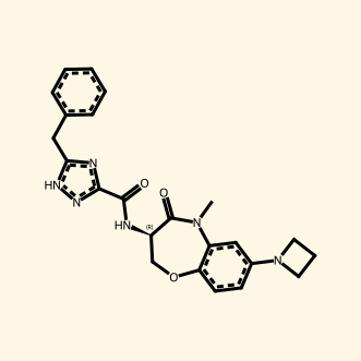 CN1C(=O)[C@H](NC(=O)c2n[nH]c(Cc3ccccc3)n2)COc2ccc(N3CCC3)cc21